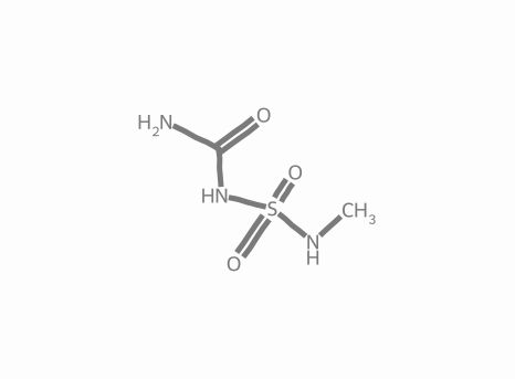 CNS(=O)(=O)NC(N)=O